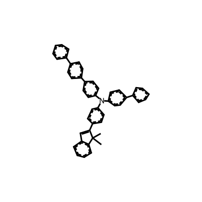 CC1(C)C(c2ccc(N(c3ccc(-c4ccccc4)cc3)c3ccc(-c4ccc(-c5ccccc5)cc4)cc3)cc2)=Cc2ccccc21